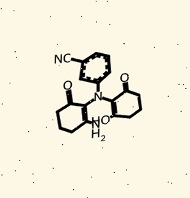 N#Cc1cccc(N(C2=C(N)CCCC2=O)C2=C(O)CCCC2=O)c1